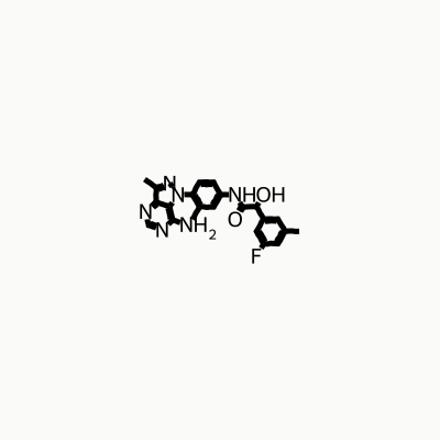 Cc1cc(F)cc(C(O)C(=O)Nc2ccc(-n3nc(C)c4ncnc(N)c43)c(C)c2)c1